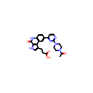 CC(=O)N1CCN(c2nccc(-c3ccc4[nH]c(=O)c5[nH]cc(CCC(=O)O)c5c4c3)n2)CC1